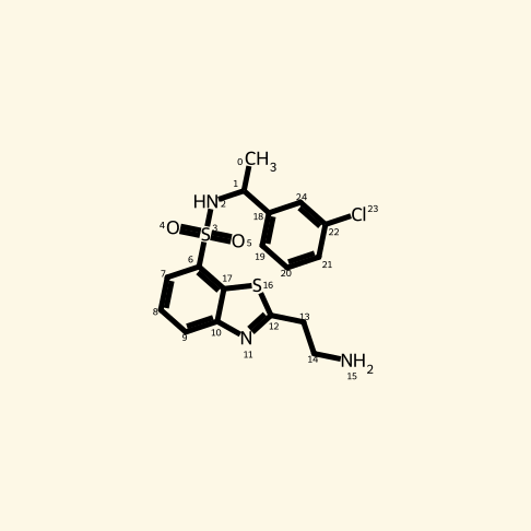 CC(NS(=O)(=O)c1cccc2nc(CCN)sc12)c1cccc(Cl)c1